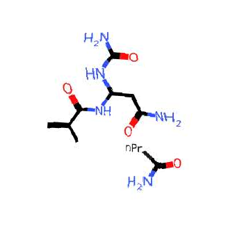 C=C(C)C(=O)NC(CC(N)=O)NC(N)=O.CCCC(N)=O